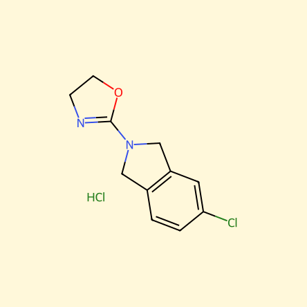 Cl.Clc1ccc2c(c1)CN(C1=NCCO1)C2